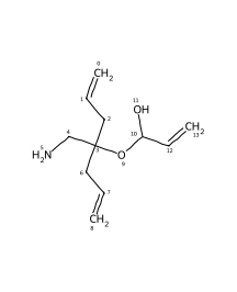 C=CCC(CN)(CC=C)OC(O)C=C